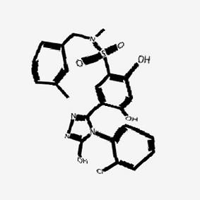 Cc1cccc(CN(C)S(=O)(=O)c2cc(-c3nnc(O)n3-c3ccccc3Cl)c(O)cc2O)c1